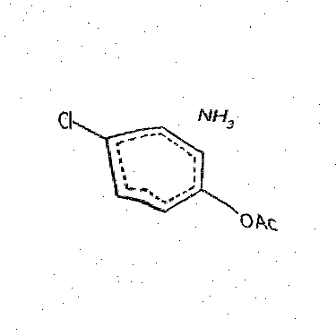 CC(=O)Oc1ccc(Cl)cc1.N